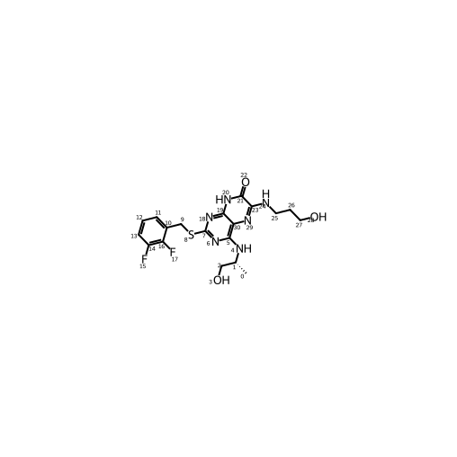 C[C@H](CO)Nc1nc(SCc2cccc(F)c2F)nc2[nH]c(=O)c(NCCCO)nc12